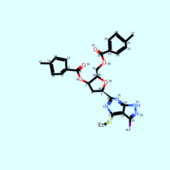 CCSc1nc([C@H]2CC(OC(=O)c3ccc(C)cc3)[C@@H](COC(=O)c3ccc(C)cc3)O2)nc2[nH]nc(I)c12